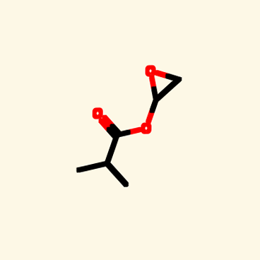 CC(C)C(=O)OC1CO1